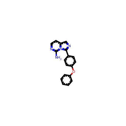 Nc1nccc2cnc(-c3ccc(Oc4ccccc4)cc3)n12